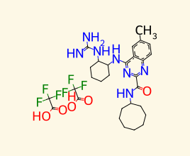 Cc1ccc2nc(C(=O)NC3CCCCCCC3)nc(NC3CCCCC3NC(=N)N)c2c1.O=C(O)C(F)(F)F.O=C(O)C(F)(F)F